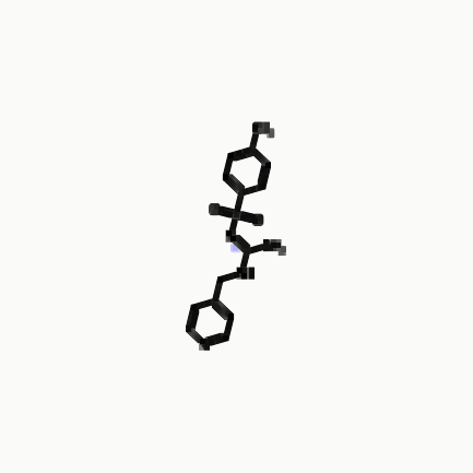 Cc1ccc(S(=O)(=O)/N=C(\N)NCc2ccncc2)cc1